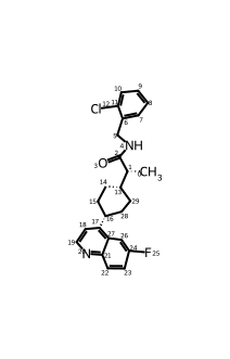 C[C@@H](C(=O)NCc1ccccc1Cl)[C@H]1CC[C@@H](c2ccnc3ccc(F)cc32)CC1